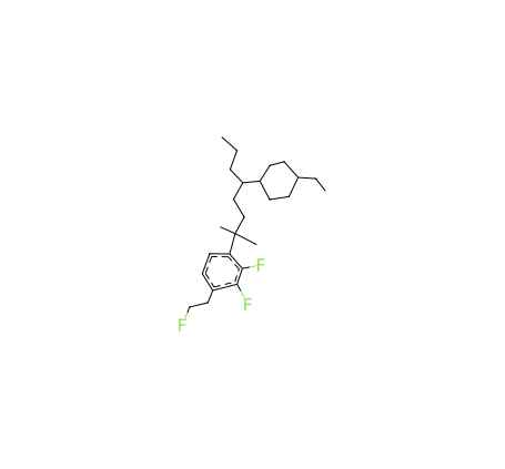 CCCC(CCC(C)(C)c1ccc(CCF)c(F)c1F)C1CCC(CC)CC1